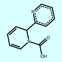 O=C(O)N1C=CC=CC1c1ccccn1